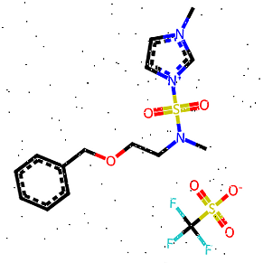 CN(CCOCc1ccccc1)S(=O)(=O)[n+]1ccn(C)c1.O=S(=O)([O-])C(F)(F)F